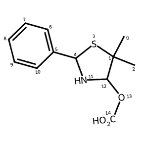 CC1(C)SC(c2ccccc2)NC1OC(=O)O